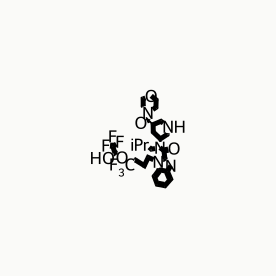 CC(C)CN(C(=O)c1nc2ccccc2n1CCCC(F)(F)F)[C@@H]1CNC[C@H](C(=O)N2CCOCC2)C1.O=C(O)C(F)(F)F